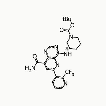 CC(C)(C)OC(=O)N1CCC[C@H](Nc2ncnc3c(C(N)=O)cc(-c4cccnc4C(F)(F)F)nc23)C1